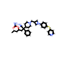 CCCC(CC(C#N)(c1ccccc1)C1CCN(CC2CN(c3ccc(Sc4ccncc4)cc3)C2)CC1)OC(N)=O